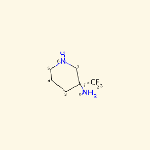 N[C@@]1(C(F)(F)F)CCCNC1